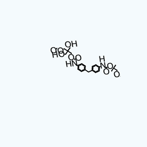 COCC(C)(C)OC(=O)Nc1ccc(Cc2ccc(NC(=O)OCC(CO)(CO)COC=O)cc2)cc1